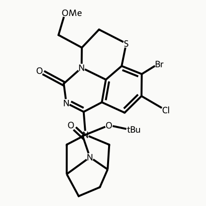 COCC1CSc2c(Br)c(Cl)cc3c(N4CC5CCC(C4)N5C(=O)OC(C)(C)C)nc(=O)n1c23